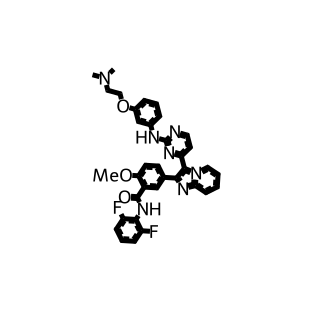 COc1ccc(-c2nc3ccccn3c2-c2ccnc(Nc3cccc(OCCN(C)C)c3)n2)cc1C(=O)Nc1c(F)cccc1F